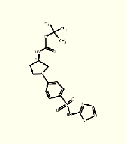 CC(C)(C)OC(=O)N[C@@H]1CCN(c2ccc(S(=O)(=O)Nc3ncns3)cc2)C1